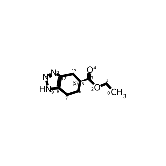 CCOC(=O)[C@H]1CCc2[nH]nnc2C1